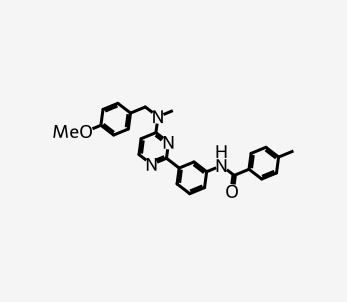 COc1ccc(CN(C)c2ccnc(-c3cccc(NC(=O)c4ccc(C)cc4)c3)n2)cc1